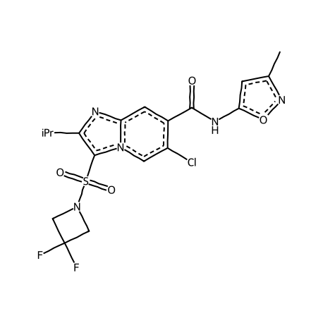 Cc1cc(NC(=O)c2cc3nc(C(C)C)c(S(=O)(=O)N4CC(F)(F)C4)n3cc2Cl)on1